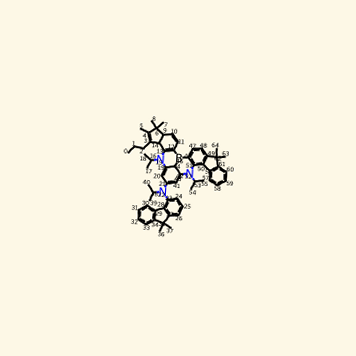 CCCC1=C(C)C(C)(C)C2C=CC3=C(C12)N(C(C)C)C1=CC(N(c2cccc4c2-c2ccccc2C4(C)C)C(C)C)=CC2(C)C1B3c1ccc3c(c1N2C(C)C)-c1ccccc1C3(C)C